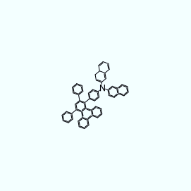 C1=CC2=CC(N(c3ccc(-c4c(-c5ccccc5)cc(-c5ccccc5)c5c6ccccc6c6ccccc6c45)cc3)c3ccc4ccccc4c3)=CCC2C=C1